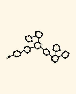 N#Cc1ccc(-c2ccc(-c3nc(-c4ccc(-c5cccc(-c6ccccc6)c5-c5ccccc5)cc4)nc(-c4ccccc4-c4ccccc4)n3)cc2)cc1